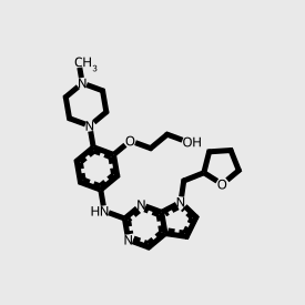 CN1CCN(c2ccc(Nc3ncc4ccn(CC5CCCO5)c4n3)cc2OCCO)CC1